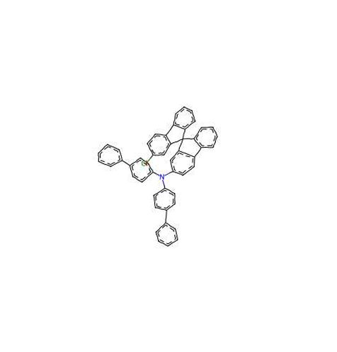 Clc1ccc2c(c1)C1(c3ccccc3-2)c2ccccc2-c2ccc(N(c3ccc(-c4ccccc4)cc3)c3ccc(-c4ccccc4)cc3)cc21